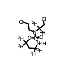 [2H]N1C([2H])([2H])CC([2H])([2H])OP1(=O)N(CCCl)C([2H])([2H])CCl